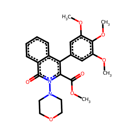 COC(=O)c1c(-c2cc(OC)c(OC)c(OC)c2)c2ccccc2c(=O)n1N1CCOCC1